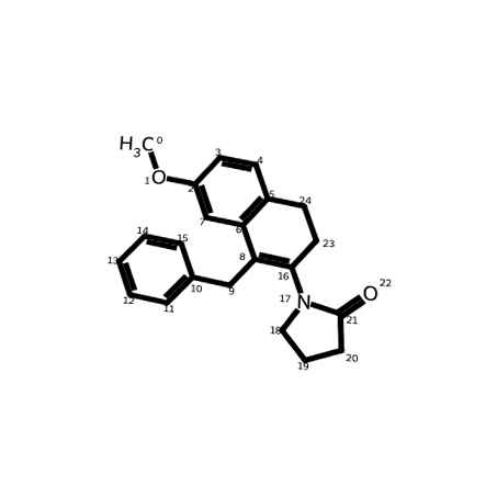 COc1ccc2c(c1)C(Cc1ccccc1)=C(N1CCCC1=O)CC2